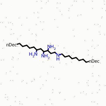 CCCCCCCCCCCCCCCCCCNCCC(N)C(N)CC(N)CCCCCCCCCCCCCCC